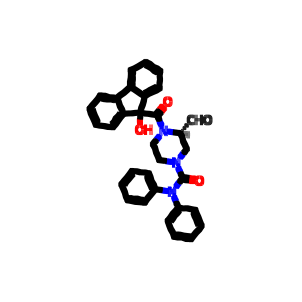 O=C[C@@H]1CN(C(=O)N(c2ccccc2)c2ccccc2)CCN1C(=O)C1(O)c2ccccc2-c2ccccc21